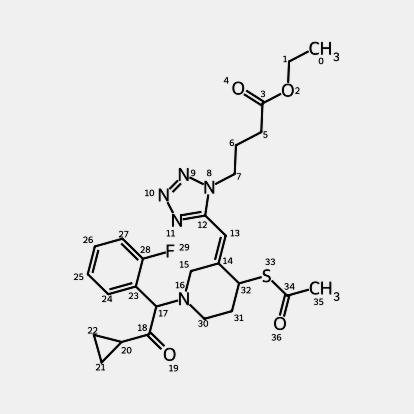 CCOC(=O)CCCn1nnnc1/C=C1\CN(C(C(=O)C2CC2)c2ccccc2F)CCC1SC(C)=O